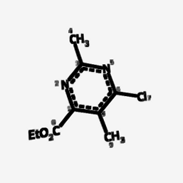 CCOC(=O)c1nc(C)nc(Cl)c1C